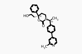 Cc1cc(-c2ccc([C@H](C)N3CC[C@](CCO)(c4ccccc4)OC3=O)cc2)ccn1